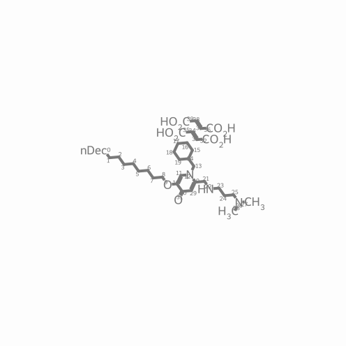 CCCCCCCCCCCCCCCCCCOc1cn(CC2CCCCC2)c(CNCCCN(C)C)cc1=O.O=C(O)C=CC(=O)O.O=C(O)C=CC(=O)O